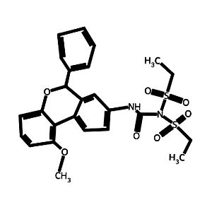 CCS(=O)(=O)N(C(=O)Nc1ccc2c(c1)C(c1ccccc1)Oc1cccc(OC)c1-2)S(=O)(=O)CC